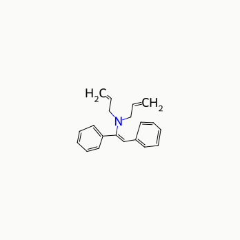 C=CCN(CC=C)C(=Cc1ccccc1)c1ccccc1